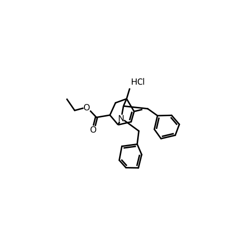 CCOC(=O)C1CC2(C)C(C)=CC1N(Cc1ccccc1)C2Cc1ccccc1.Cl